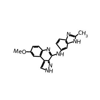 COc1ccc2nc(Nc3ccc4nc(C)[nH]c4c3)c3n[nH]cc3c2c1